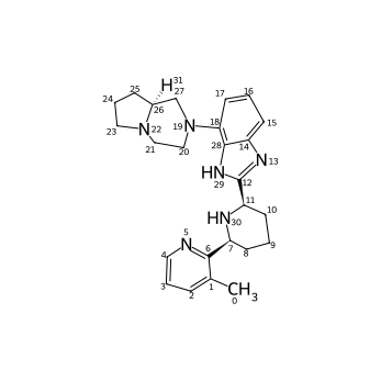 Cc1cccnc1[C@@H]1CCC[C@H](c2nc3cccc(N4CCN5CCC[C@H]5C4)c3[nH]2)N1